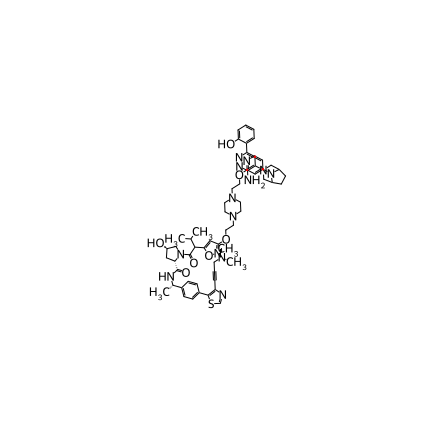 CC(C)C(C(=O)N1C[C@H](O)C[C@H]1C(=O)N[C@@H](C)c1ccc(-c2scnc2C#CCN(C)C)cc1)c1cc(OCCN2CCN(CCOc3cc(N4C5CCC4CN(c4cc(-c6ccccc6O)nnc4N)C5)ccn3)CC2)no1